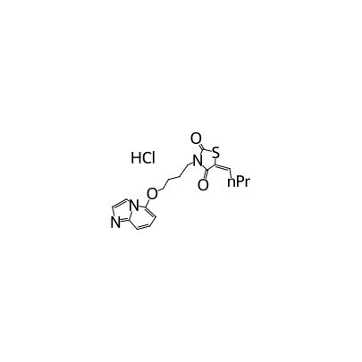 CCCC=C1SC(=O)N(CCCCOc2cccc3nccn23)C1=O.Cl